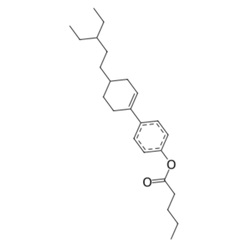 CCCCC(=O)Oc1ccc(C2=CCC(CCC(CC)CC)CC2)cc1